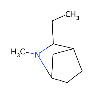 CCC1C2CCC(C2)N1C